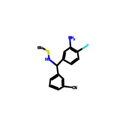 CC(C)(C)SNC(c1cccc(C#N)c1)c1ccc(F)c(N)c1